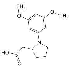 COc1cc(OC)cc(N2CCCC2CC(=O)O)c1